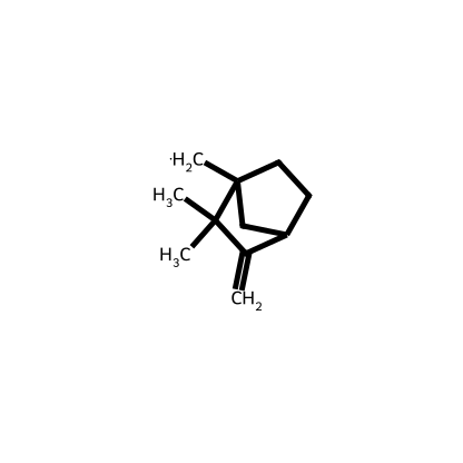 [CH2]C12CCC(C1)C(=C)C2(C)C